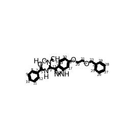 CN(C)C(NC(=O)c1ccccc1)c1n[nH]c2cc(OCCOCc3ccccc3)ccc12